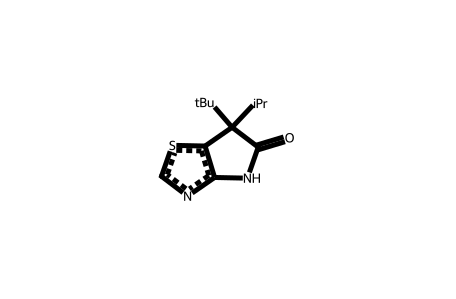 CC(C)C1(C(C)(C)C)C(=O)Nc2ncsc21